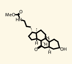 COC(=O)NCCC[C@H]1CC[C@H]2[C@@H]3C(=O)C[C@@H]4C[C@H](O)CC[C@]4(C)[C@H]3CC[C@]12C